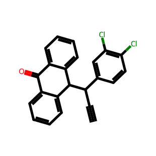 C#CC(c1ccc(Cl)c(Cl)c1)C1c2ccccc2C(=O)c2ccccc21